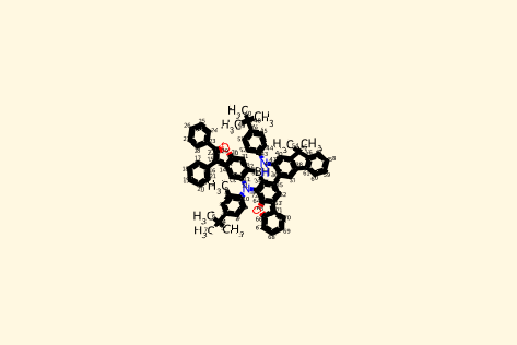 Cc1cc(C(C)(C)C)ccc1N1c2cc3c(-c4ccccc4)c(-c4ccccc4)oc3cc2Bc2c(-c3cc4c(cc3Nc3ccc(C(C)(C)C)cc3)C(C)(C)c3ccccc3-4)cc3c(oc4ccccc43)c21